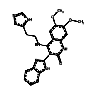 COc1cc2[nH]c(=O)c(-c3nc4ccccc4[nH]3)c(NCCc3cnc[nH]3)c2cc1OC